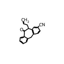 C=CCC1C(=O)c2ccccc2Cc2ccc(C#N)cc21